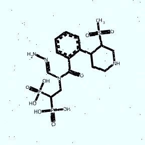 CS(=O)(=O)C1CNCCC1c1ccccc1C(=O)N(C=NN)CC(P(=O)(O)O)P(=O)(O)O